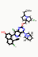 C#Cc1c(F)ccc2cc(O)cc(-c3ncc4c(N5C[C@H]6CC[C@@H](C5)N6)nc(OCC56CCC(COC)N5C[C@H](F)C6)nc4c3F)c12